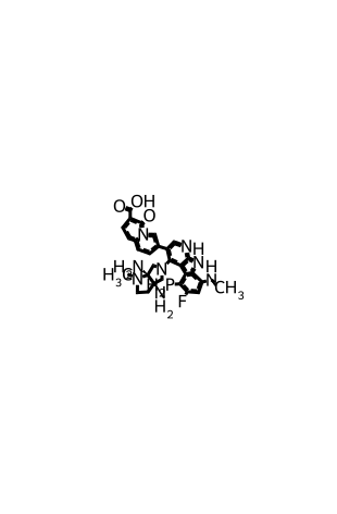 CNc1cc(F)c(P)c2c1[nH]c1ncc(-c3ccc4ccc(C(=O)O)c(=O)n4c3)c(N3C[C@]4(N)CCN(C)[C@]4(N)C3)c12